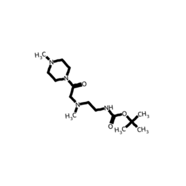 CN1CCN(C(=O)CN(C)CCNC(=O)OC(C)(C)C)CC1